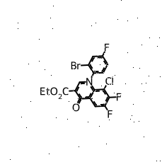 CCOC(=O)c1cn(-c2ccc(F)cc2Br)c2c(Cl)c(F)c(F)cc2c1=O